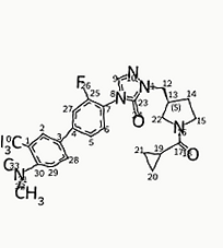 Cc1cc(-c2ccc(-n3cnn(C[C@H]4CCN(C(=O)C5CC5)C4)c3=O)c(F)c2)ccc1N(C)C